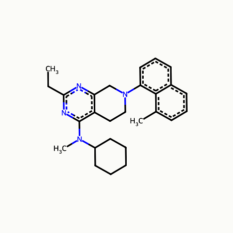 CCc1nc2c(c(N(C)C3CCCCC3)n1)CCN(c1cccc3cccc(C)c13)C2